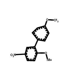 CCCCOc1ccc([N+](=O)[O-])cc1-c1ccc(OC(F)(F)F)cc1